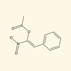 CC(=O)OC(=Cc1ccccc1)[N+](=O)[O-]